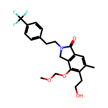 COCOc1c(CCO)c(C)cc2c1CN(CCc1ccc(C(F)(F)F)cc1)C2=O